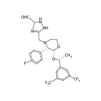 C[C@@H](O[C@H]1OCCN(CC2=NC(C=O)NN2)[C@H]1c1ccc(F)cc1)c1cc(C(F)(F)F)cc(C(F)(F)F)c1